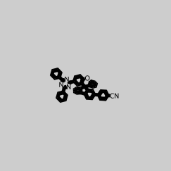 N#Cc1ccc(-c2ccc3c(c2)C2(c4ccccc4Oc4ccc(-c5nc(-c6ccccc6)nc(-c6ccccc6)n5)cc42)c2ccccc2-3)cc1